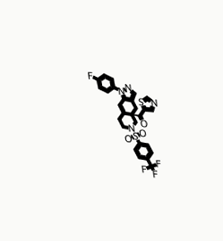 O=C(c1cncs1)[C@]12Cc3cnn(-c4ccc(F)cc4)c3C=C1CCN(S(=O)(=O)c1ccc(C(F)(F)F)cc1)C2